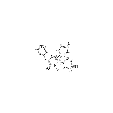 CN1C(=O)C(Cc2ccncc2)O[C@@H](c2ccc(Cl)cc2)C1c1ccc(Cl)cc1